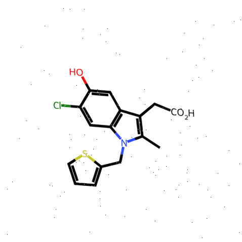 Cc1c(CC(=O)O)c2cc(O)c(Cl)cc2n1Cc1cccs1